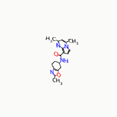 Cc1cc(C)n2ccc(C(=O)NC3CCc4nc(C)oc4C3)c2n1